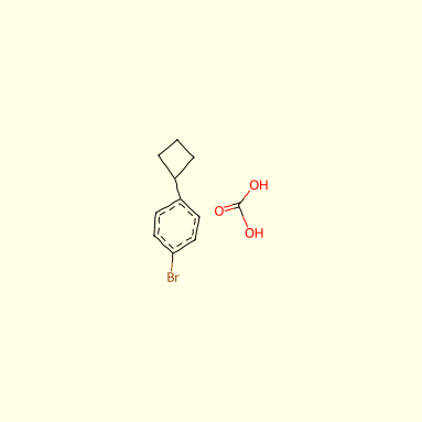 Brc1ccc(C2CCC2)cc1.O=C(O)O